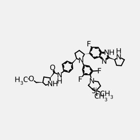 COC[C@@H]1CN[C@H](C(=O)Nc2ccc([C@H]3CC[C@H](c4cc5nc([C@@H]6CCCN6)[nH]c5cc4F)N3c3cc(F)c(N4CC[Si](C)(C)CC4)c(F)c3)cc2)C1